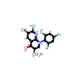 O=C(O)c1cn(-c2c(F)cc(F)cc2F)c2nc(Cl)c(Cl)cc2c1=O